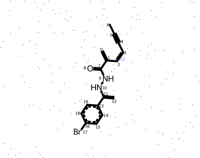 C=C(/C=C\C#CC)C(=O)NNC(=C)c1ccc(Br)cc1